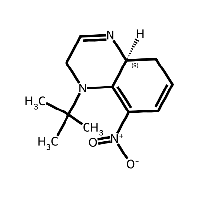 CC(C)(C)N1CC=N[C@H]2CC=CC([N+](=O)[O-])=C21